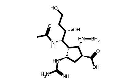 BN[C@H]1[C@@H]([C@H](NC(C)=O)[C@@H](O)CCO)[C@H](NC(=N)N)C[C@@H]1C(=O)O